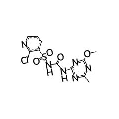 COc1nc(C)nc(NC(=O)NS(=O)(=O)c2cccnc2Cl)n1